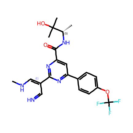 CN/C=C(\C=N)c1nc(C(=O)N[C@@H](C)C(C)(C)O)cc(-c2ccc(OC(F)(F)F)cc2)n1